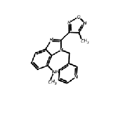 CNc1cccc2nc(-c3nonc3C)n(Cc3cccnc3)c12